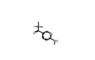 CNc1ccc(C(=O)C(C)(C)C)cn1